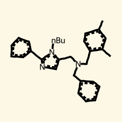 CCCCn1c(CN(Cc2ccccc2)Cc2ccc(C)cc2C)cnc1-c1ccccc1